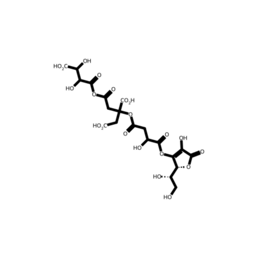 O=C(O)CC(CC(=O)OC(=O)C(O)C(O)C(=O)O)(OC(=O)CC(O)C(=O)OC1=C(O)C(=O)O[C@@H]1[C@@H](O)CO)C(=O)O